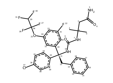 CC(C)(CC(N)=O)NC(=O)N[C@@](Cc1ccccc1)(c1cc(F)cc(OC(F)(F)C(F)F)c1)c1ccc(Cl)cn1